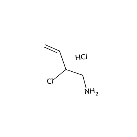 C=CC(Cl)CN.Cl